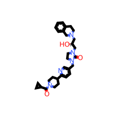 O=C(C1CC1)N1CCC(c2ccc(CN3CCN(C[C@H](O)CN4CCc5ccccc5C4)C3=O)cn2)CC1